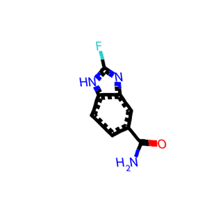 NC(=O)c1ccc2[nH]c(F)nc2c1